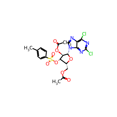 CC(=O)OC[C@H]1O[C@@H](n2cnc3c(Cl)nc(Cl)nc32)[C@H](OC(C)=O)[C@H]1OS(=O)(=O)c1ccc(C)cc1